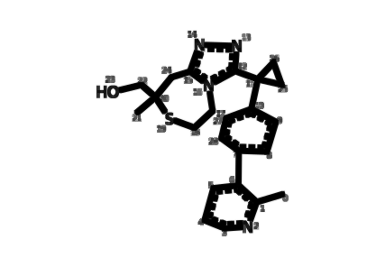 Cc1ncccc1-c1ccc(C2(c3nnc4n3CCSC(C)(CO)C4)CC2)cc1